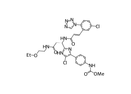 CCOCCNC(=O)C[C@H](NC(=O)/C=C/c1cc(Cl)ccc1-n1cnnn1)c1nc(-c2ccc(NC(=O)OC)cc2)c(Cl)[nH]1